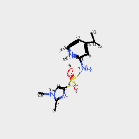 Cc1nc(S(=O)(=O)Nc2cc(C(C)C)ccn2)cn1C